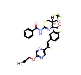 C#CCOc1cnc(/C(F)=C/c2ccc(F)c([C@]34CO[C@H](C(F)(F)F)[C@H]3CSC(NC(=O)c3ccccc3)=N4)c2)cn1